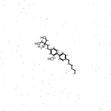 CCCCCCc1ccc(-c2ccc(CCC(N)(CO)CO)cc2)cc1.Cl